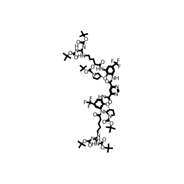 CC(C)(C)OC(=O)N=C(NCCCCC(=O)Nc1cc(C(F)(F)F)cc(NC(=O)c2cc(C(=O)Nc3cc(C(F)(F)F)cc(NC(=O)CCCCNC(=NC(=O)OC(C)(C)C)NC(=O)OC(C)(C)C)c3O[C@@H]3CCN(C(=O)OC(C)(C)C)C3)ncn2)c1O[C@@H]1CCN(C(=O)OC(C)(C)C)C1)NC(=O)OC(C)(C)C